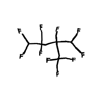 F[C](F)C(F)(F)C(F)([C](F)F)C(F)(F)F